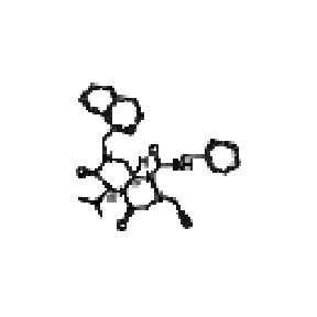 C#CCN1CC(=O)N2[C@@H](C(C)C)C(=O)N(Cc3cccc4ccccc34)C[C@@H]2N1C(=O)NCc1ccccc1